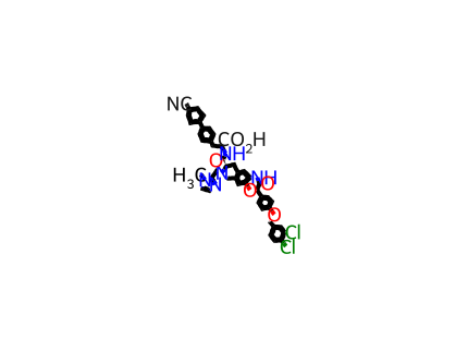 Cn1ccnc1CN1Cc2cc3c(cc2C[C@H]1C(=O)N[C@@H](Cc1ccc(-c2ccc(C#N)cc2)cc1)C(=O)O)NC(=O)C(c1ccc(OCc2ccc(Cl)c(Cl)c2)cc1)O3